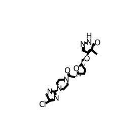 Cc1c(OC[C@H]2CC[C@H](CC(=O)N3CCN(c4ncc(Cl)cn4)CC3)O2)cn[nH]c1=O